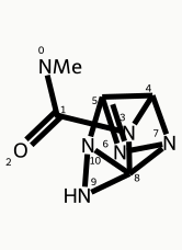 CNC(=O)N1C2C3=NN2C12NN32